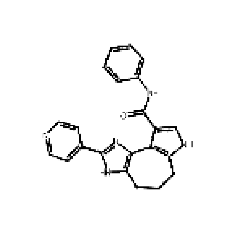 O=C(Nc1ccccc1)c1c[nH]c2c1-c1nc(-c3ccncc3)[nH]c1CCC2